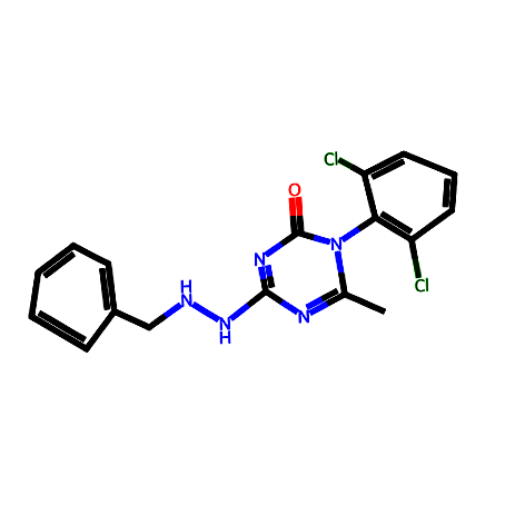 Cc1nc(NNCc2ccccc2)nc(=O)n1-c1c(Cl)cccc1Cl